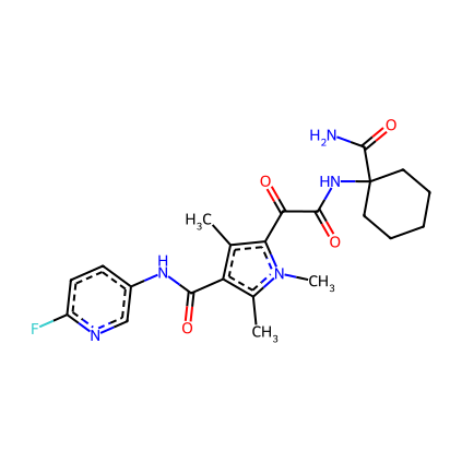 Cc1c(C(=O)Nc2ccc(F)nc2)c(C)n(C)c1C(=O)C(=O)NC1(C(N)=O)CCCCC1